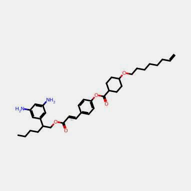 C=CCCCCCCOC1CCC(C(=O)Oc2ccc(/C=C/C(=O)OCC(CCCC)c3cc(N)cc(N)c3)cc2)CC1